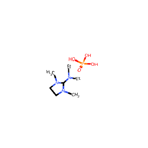 CCN(CC)C1N(C)CCN1C.O=P(O)(O)O